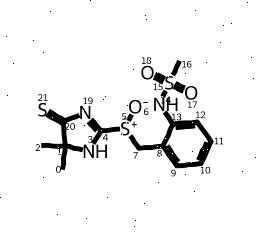 CC1(C)NC([S+]([O-])Cc2ccccc2NS(C)(=O)=O)=NC1=S